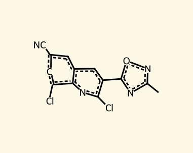 Cc1noc(-c2cc3cc(C#N)cc(Cl)c3nc2Cl)n1